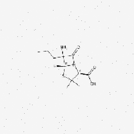 CCCC1(N)C(=O)N2[C@@H](C(=O)O)C(C)(C)S[C@@H]21